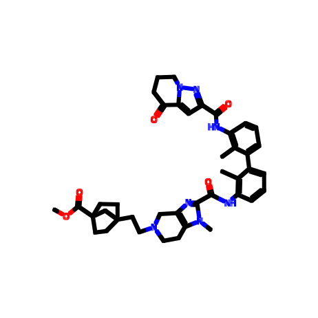 COC(=O)C12CCC(CCN3CCc4c(nc(C(=O)Nc5cccc(-c6cccc(NC(=O)c7cc8n(n7)CCCC8=O)c6C)c5C)n4C)C3)(CC1)C2